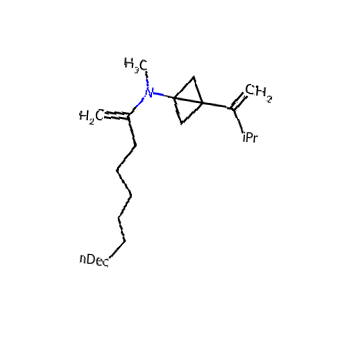 C=C(CCCCCCCCCCCCCCC)N(C)C12CC1(C(=C)C(C)C)C2